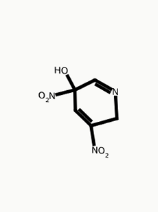 O=[N+]([O-])C1=CC(O)([N+](=O)[O-])C=NC1